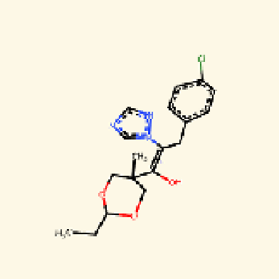 CCC1OCC(C)(/C(O)=C(/Cc2ccc(Cl)cc2)n2cncn2)CO1